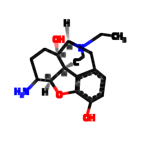 CCN1CC[C@]23c4c5ccc(O)c4O[C@H]2C(N)CC[C@@]3(O)[C@H]1C5